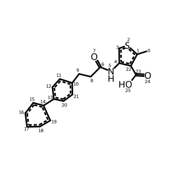 Cc1scc(NC(=O)CCc2ccc(-c3ccccc3)cc2)c1C(=O)O